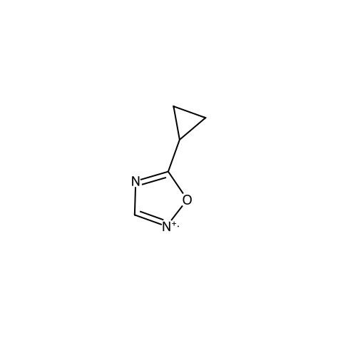 C1=[N+]OC(C2CC2)=N1